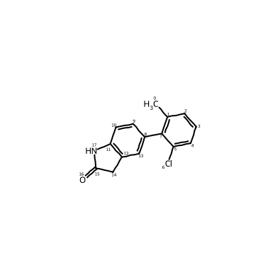 Cc1cccc(Cl)c1-c1ccc2c(c1)CC(=O)N2